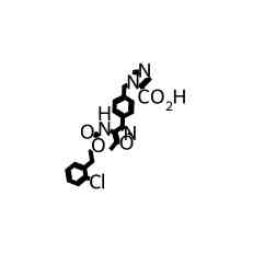 Cc1onc(-c2ccc(Cn3cncc3C(=O)O)cc2)c1NC(=O)OCCc1ccccc1Cl